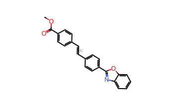 COC(=O)c1ccc(/C=C/c2ccc(-c3nc4ccccc4o3)cc2)cc1